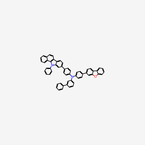 c1ccc(-c2cccc(N(c3ccc(-c4ccc5c(c4)oc4ccccc45)cc3)c3ccc(-c4ccc5c6ccc7ccccc7c6n(-c6ccccc6)c5c4)cc3)c2)cc1